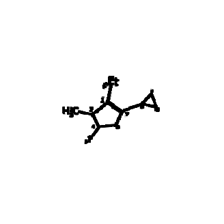 CCC1C(C)C(F)CC1C1CC1